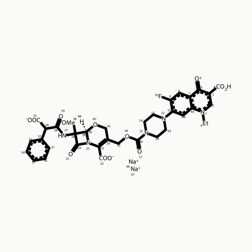 CCn1cc(C(=O)O)c(=O)c2cc(F)c(N3CCN(C(=O)OCC4=C(C(=O)[O-])N5C(=O)C(NC(=O)C(C(=O)[O-])c6ccccc6)(OC)[C@H]5OC4)CC3)cc21.[Na+].[Na+]